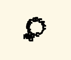 C1=CCCCCCCCCCCCCCCCCCCCCCC1.Cl[SiH](Cl)Cl